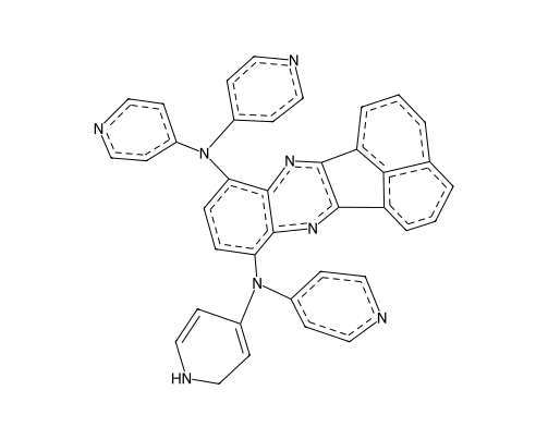 C1=CC(N(c2ccncc2)c2ccc(N(c3ccncc3)c3ccncc3)c3nc4c(nc23)-c2cccc3cccc-4c23)=CCN1